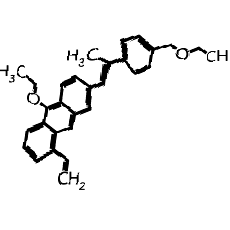 C=Cc1cccc2c(OCC)c3ccc(/C=C(\C)c4ccc(COCC)cc4)cc3cc12